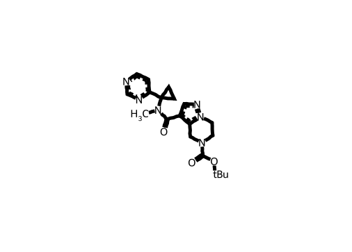 CN(C(=O)c1cnn2c1CN(C(=O)OC(C)(C)C)CC2)C1(c2ccncn2)CC1